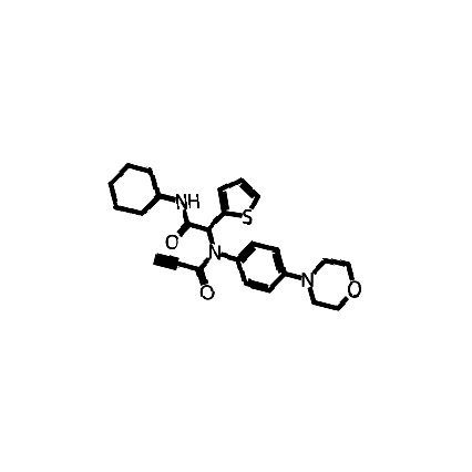 C#CC(=O)N(c1ccc(N2CCOCC2)cc1)C(C(=O)NC1CCCCC1)c1cccs1